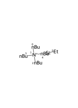 CCCC[N+](CCCC)(CCCC)CCCC.CC[S-]